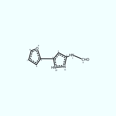 O=CNc1cc(-c2ccco2)[nH]n1